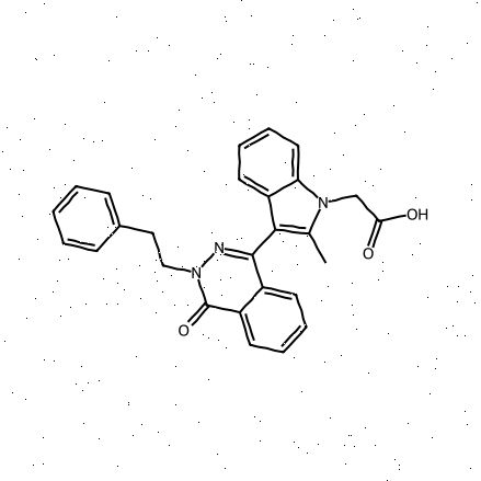 Cc1c(-c2nn(CCc3ccccc3)c(=O)c3ccccc23)c2ccccc2n1CC(=O)O